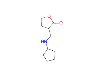 O=C1OCCC1CNC1CCCC1